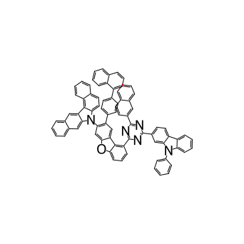 c1ccc(-n2c3ccccc3c3ccc(-c4nc(-c5ccc6ccccc6c5)nc(-c5cccc6oc7cc(-n8c9cc%10ccccc%10cc9c9c%10ccccc%10ccc98)c(-c8ccc(-c9cccc%10ccccc9%10)cc8)cc7c56)n4)cc32)cc1